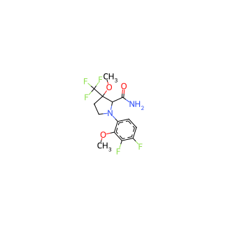 COc1c(N2CCC(OC)(C(F)(F)F)C2C(N)=O)ccc(F)c1F